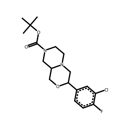 CC(C)(C)OC(=O)N1CCN2CC(c3ccc(F)c(Cl)c3)OCC2C1